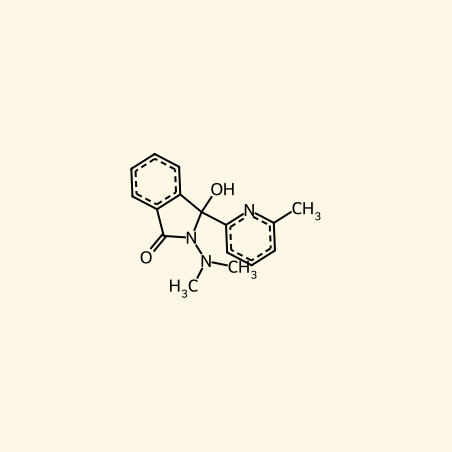 Cc1cccc(C2(O)c3ccccc3C(=O)N2N(C)C)n1